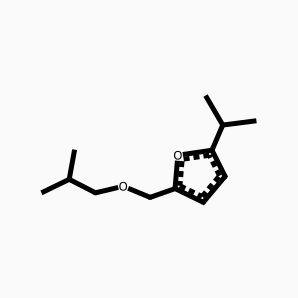 CC(C)COCc1ccc(C(C)C)o1